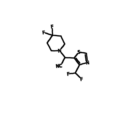 N#CC(c1scnc1C(F)F)N1CCC(F)(F)CC1